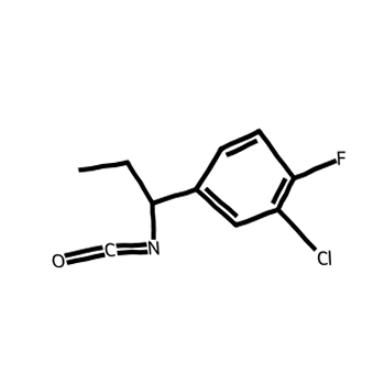 CCC(N=C=O)c1ccc(F)c(Cl)c1